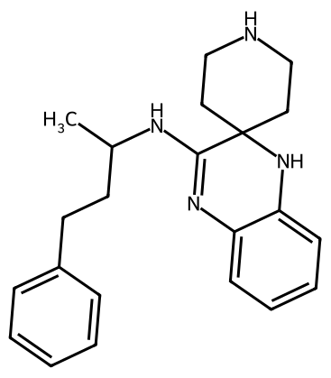 CC(CCc1ccccc1)NC1=Nc2ccccc2NC12CCNCC2